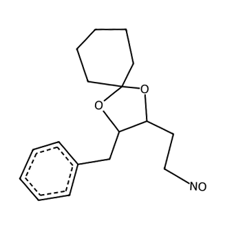 O=NCCC1OC2(CCCCC2)OC1Cc1ccccc1